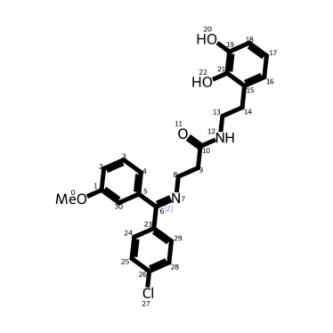 COc1cccc(/C(=N\CCC(=O)NCCc2cccc(O)c2O)c2ccc(Cl)cc2)c1